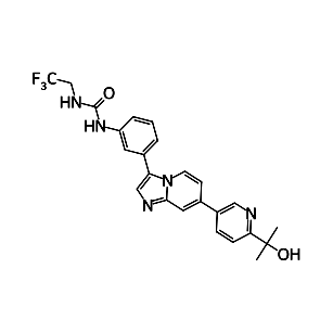 CC(C)(O)c1ccc(-c2ccn3c(-c4cccc(NC(=O)NCC(F)(F)F)c4)cnc3c2)cn1